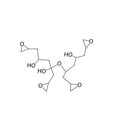 OC(CC1CO1)CC(CC1CO1)OC(O)(CC(O)CC1CO1)CC1CO1